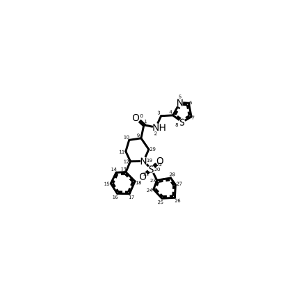 O=C(NCc1nccs1)C1CCC(c2ccccc2)N(S(=O)(=O)c2ccccc2)C1